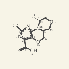 C=C(O)c1nc(Cl)nc2c1OCC1COC[C@@H](C)N21